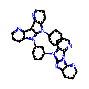 c1ccc(-n2c3cccnc3c3c4ncccc4n(-c4cccc(-n5c6cccnc6n6c7ncccc7nc56)c4)c32)cc1